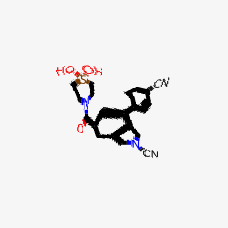 N#Cc1ccc(-c2cc(C(=O)N3CCS(O)(O)CC3)cc3c2CN(C#N)C3)cc1